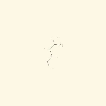 N[C@H](C=O)[C@@H](O)[C@H](O)CO